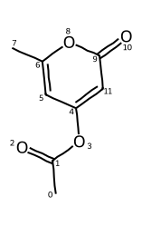 CC(=O)Oc1cc(C)oc(=O)c1